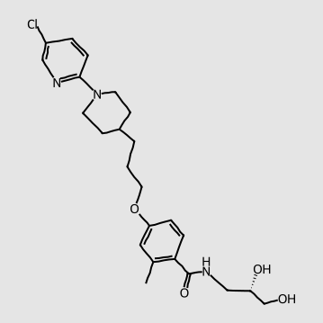 Cc1cc(OCCCC2CCN(c3ccc(Cl)cn3)CC2)ccc1C(=O)NC[C@H](O)CO